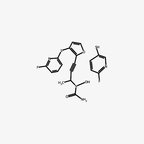 CC(C#Cc1occc1Sc1cccc(F)n1)N(O)C(N)=O.Fc1ccc(S)cn1